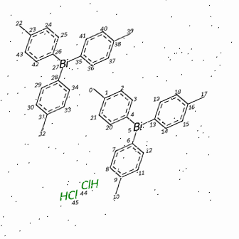 Cc1cc[c]([Bi]([c]2ccc(C)cc2)[c]2ccc(C)cc2)cc1.Cc1cc[c]([Bi]([c]2ccc(C)cc2)[c]2ccc(C)cc2)cc1.Cl.Cl